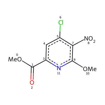 COC(=O)c1cc(Cl)c([N+](=O)[O-])c(OC)n1